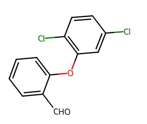 O=Cc1ccccc1Oc1cc(Cl)ccc1Cl